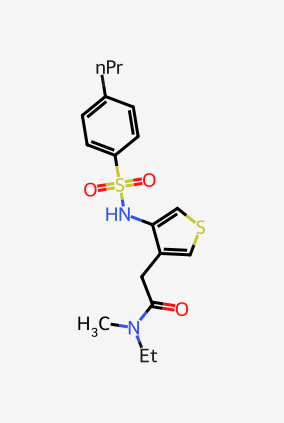 CCCc1ccc(S(=O)(=O)Nc2cscc2CC(=O)N(C)CC)cc1